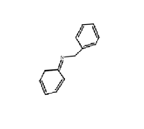 C1=CCC(=NCc2ccccc2)C=C1